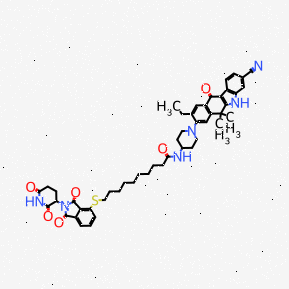 CCc1cc2c(cc1N1CCC(NC(=O)CCCCCCCCCSc3cccc4c3C(=O)N(C3CCC(=O)NC3=O)C4=O)CC1)C(C)(C)c1[nH]c3cc(C#N)ccc3c1C2=O